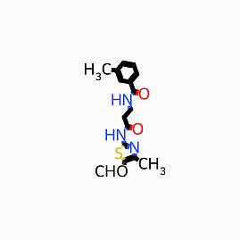 Cc1cccc(C(=O)NCCC(=O)Nc2nc(C)c(C=O)s2)c1